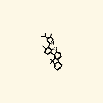 Cc1cnc(-c2c(C)ccc3c2oc2ccc4c(c23)C(C)(C)c2ccccc2-4)cc1C(C)C